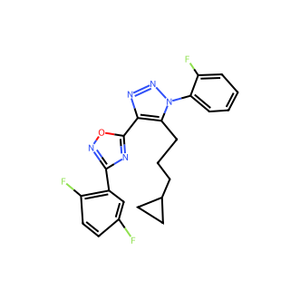 Fc1ccc(F)c(-c2noc(-c3nnn(-c4ccccc4F)c3CCCC3CC3)n2)c1